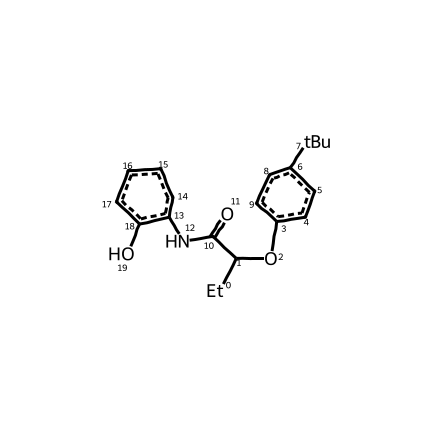 CCC(Oc1ccc(C(C)(C)C)cc1)C(=O)Nc1ccccc1O